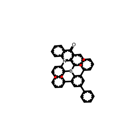 O=c1c2ccccc2n2c3c(cccc13)B(c1c(-c3ccccc3)cc(-c3ccccc3)cc1-c1ccccc1)c1ccccc1-2